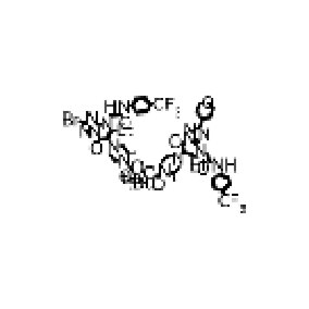 CCc1c(N2CCN(C(=O)OC(C)(C)C)[C@H](C)C2)c(=O)n2nc(Br)nc2n1CC(=O)Nc1ccc(C(F)(F)F)cc1.CCc1c(N2CCN(C(=O)OC(C)(C)C)[C@H](C)C2)c(=O)n2nc(C3=CCOCC3)nc2n1CC(=O)Nc1ccc(C(F)(F)F)cc1